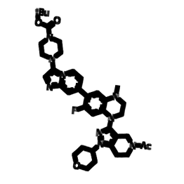 CC(=O)N1CCc2c(c(N3CCN(C)c4cc(-c5ccn6c(N7CCN(C(=O)OC(C)(C)C)CC7)cnc6c5)c(F)cc43)nn2C2CCOCC2)C1